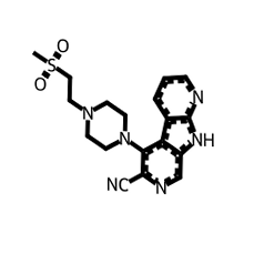 CS(=O)(=O)CCN1CCN(c2c(C#N)ncc3[nH]c4ncccc4c23)CC1